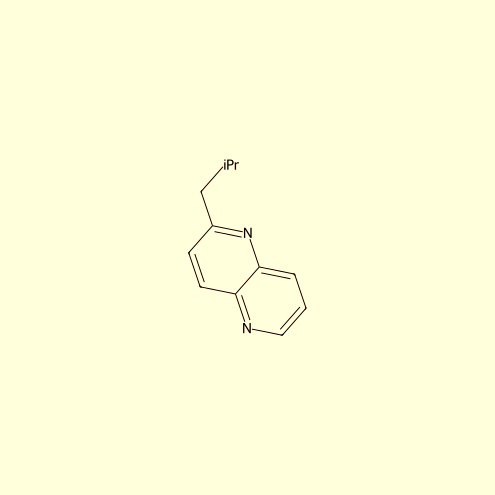 CC(C)Cc1ccc2ncccc2n1